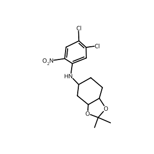 CC1(C)OC2CCC(Nc3cc(Cl)c(Cl)cc3[N+](=O)[O-])CC2O1